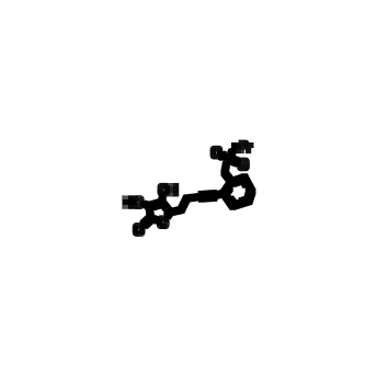 CCCS(=O)(=O)Cc1ccccc1C#CCCC1OC(=O)C(O)=C1O